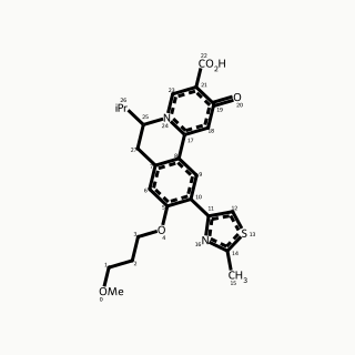 COCCCOc1cc2c(cc1-c1csc(C)n1)-c1cc(=O)c(C(=O)O)cn1C(C(C)C)C2